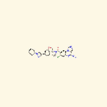 CN(C(=O)c1cc2c(cc1F)nc(N)c1cncn12)[C@@H]1COc2cc(-c3cnn(-c4ccccc4)c3)ccc21